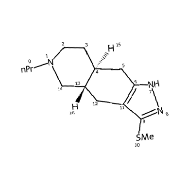 CCCN1CC[C@H]2Cc3[nH]nc(SC)c3C[C@@H]2C1